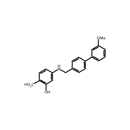 COc1cccc(-c2ccc(CNc3ccc(C(=O)O)c(O)c3)cc2)c1